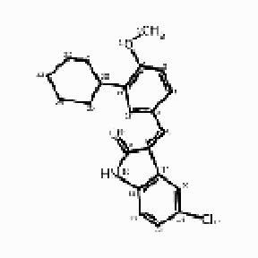 COc1ccc(C=C2C(=O)Nc3ccc(Cl)cc32)cc1C1CCCCC1